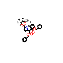 CC(C)(C)OC(=O)C1CCC(=C(CC(=O)OCc2ccccc2)C(=O)OCc2ccccc2)N1Cc1ccccc1